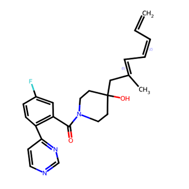 C=C/C=C\C=C(/C)CC1(O)CCN(C(=O)c2cc(F)ccc2-c2ccncn2)CC1